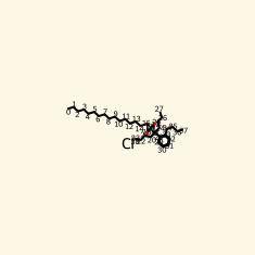 CCCCCCCCCCCCCCCC[N+](C)(C)C(CCCC)(CCCC)c1ccccc1CCCC.[Cl-]